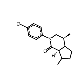 CC1CCC2[C@@H]1C(=O)N(c1ccc(Cl)cc1)C[C@H]2C